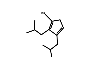 CC(C)CC1=CC[C]([Ru])=C1CC(C)C